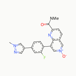 CNC(=O)c1ccc2c[n+]([O-])cc(-c3ccc(-c4cnn(C)c4)cc3F)c2n1